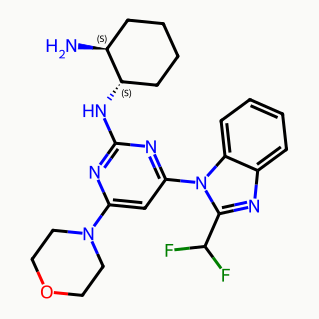 N[C@H]1CCCC[C@@H]1Nc1nc(N2CCOCC2)cc(-n2c(C(F)F)nc3ccccc32)n1